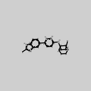 Cc1nc2cc(-c3ccc(OC4C5CCN(CC5)C4C)nn3)ccc2s1